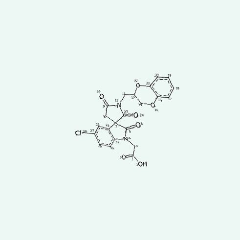 O=C(O)CN1C(=O)C2(CC(=O)N(CC3COc4ccccc4O3)C2=O)c2cc(Cl)ccc21